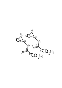 C=C(CC1CO1)C(=O)O.C=C(CC1CO1)C(=O)O